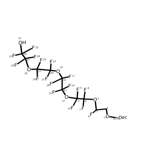 CCCCCCCCCCOCC(F)OC(F)(F)C(F)(F)OC(F)(F)C(F)(F)OC(F)(F)C(F)(F)OC(F)(F)C(O)(F)F